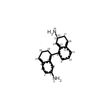 Nc1ccc2c(c1)=C(c1cccc3c1=C[C@@H](N)CC=3)CCC=2